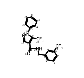 O=C(NCc1cccc(C(F)(F)F)c1)c1cnn(-c2ccccc2)c1C(F)(F)F